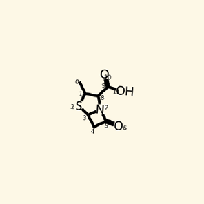 CC1SC2CC(=O)N2C1C(=O)O